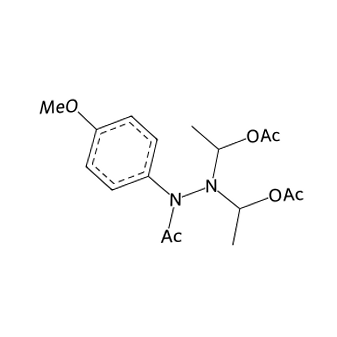 COc1ccc(N(C(C)=O)N(C(C)OC(C)=O)C(C)OC(C)=O)cc1